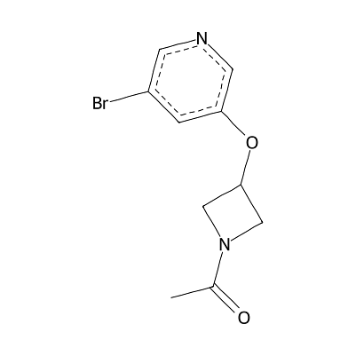 CC(=O)N1CC(Oc2cncc(Br)c2)C1